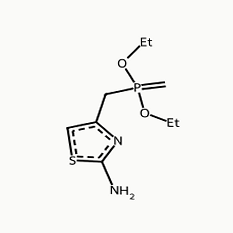 C=P(Cc1csc(N)n1)(OCC)OCC